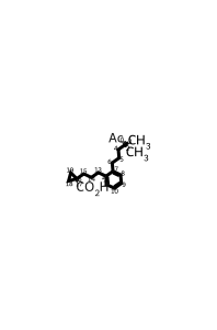 CC(=O)C(C)(C)CCCc1ccccc1CCCC1(C(=O)O)CC1